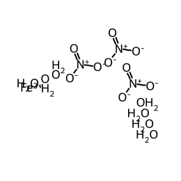 O.O.O.O.O.O.O.O=[N+]([O-])[O-].O=[N+]([O-])[O-].O=[N+]([O-])[O-].[Fe+3]